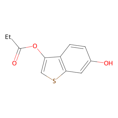 CCC(=O)Oc1csc2cc(O)ccc12